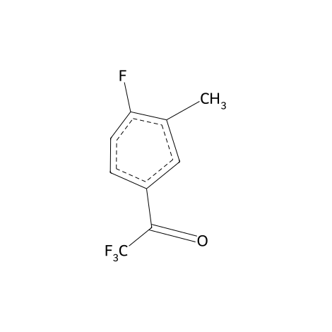 Cc1cc(C(=O)C(F)(F)F)ccc1F